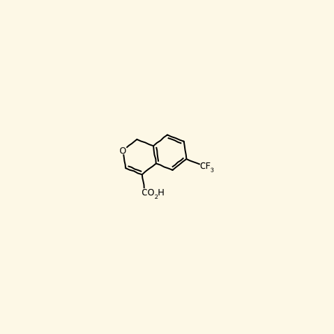 O=C(O)C1=COCc2ccc(C(F)(F)F)cc21